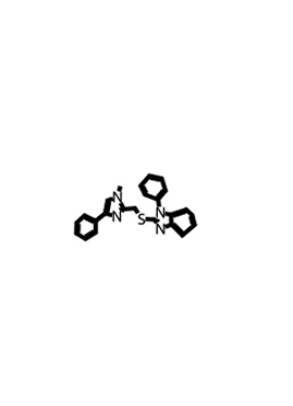 Cn1cc(-c2ccccc2)nc1CSc1nc2ccccc2n1-c1ccccc1